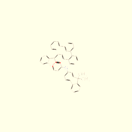 CC1(C)c2ccccc2-c2ccc(N(c3ccccc3)c3cccc(-c4cccc(-c5ccccc5)c4)c3-c3ccc4c(c3)oc3ccccc34)cc21